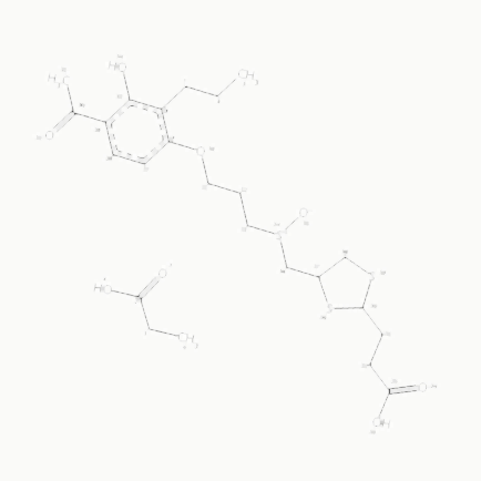 CCC(=O)O.CCCc1c(OCCC[S+]([O-])CC2CSC(CCC(=O)O)S2)ccc(C(C)=O)c1O